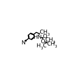 C[C@@H](Cc1ccc(C#N)cc1)NC(=O)OC(C)(C)C